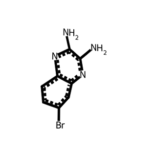 Nc1nc2ccc(Br)cc2nc1N